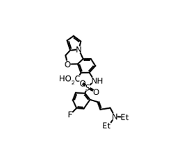 CCN(CC)CC=Cc1cc(F)ccc1S(=O)(=O)Nc1ccc2c(c1C(=O)O)OCc1cccn1-2